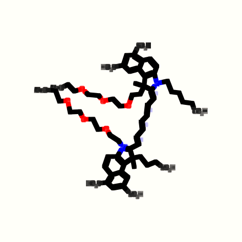 COCCOCCOCCOCC[N+]1=C(/C=C/C=C/C=C/C=C2/N(CCCCCC(=O)O)c3ccc4c(S(=O)(=O)O)cc(S(=O)(=O)O)cc4c3C2(C)CCOCCOCCOCCOC)C(C)(CCCS(=O)(=O)O)c2c1ccc1c(S(=O)(=O)O)cc(S(=O)(=O)O)cc21